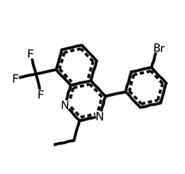 CCc1nc(-c2cccc(Br)c2)c2cccc(C(F)(F)F)c2n1